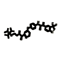 CC(C)[Si](OCCNC(=O)c1cc(Oc2ccc(NC(=O)Nc3ccc(Cl)c(C(F)(F)F)c3)cc2)ccn1)(C(C)C)C(C)C